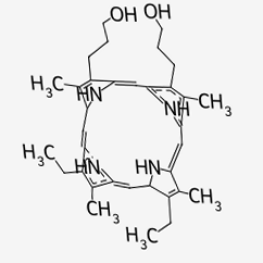 CCC1=C(C)/C2=C/c3[nH]c(c(CCCO)c3C)/C=C3\NC(/C=c4\[nH]/c(c(C)c4CC)=C\C1N2)C(C)=C3CCCO